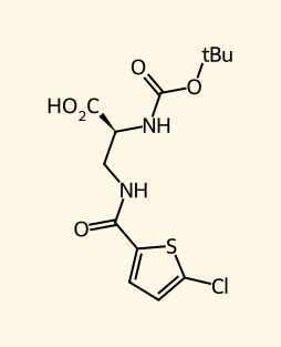 CC(C)(C)OC(=O)N[C@@H](CNC(=O)c1ccc(Cl)s1)C(=O)O